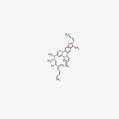 C=C\C=C/C=C(C)/C(=C/C(C)C(C)C1=CCC2C(=C1)C(C)C(/C=C\C=C)c1cc3c(C)c(/C=C\C=C)oc3cc12)CC